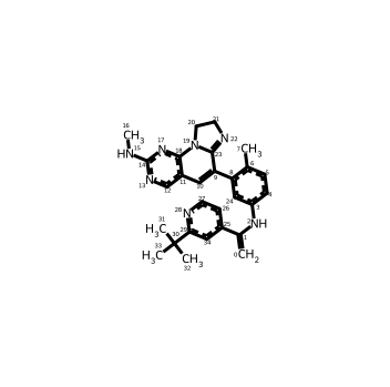 C=C(Nc1ccc(C)c(C2=Cc3cnc(NC)nc3N3CCN=C23)c1)c1ccnc(C(C)(C)C)c1